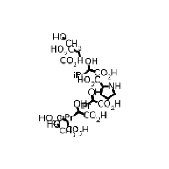 CC(C)C(O)C(=O)O.CC(C)C(O)C(=O)O.CCCC(O)C(=O)O.CO.CO.O=C(O)C1CCCN1.O=C(O)CC(=O)O.O=C(O)CC(=O)O